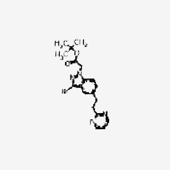 CC(C)(C)OC(=O)Cn1nc(Br)c2cc(CCc3ncccn3)ccc21